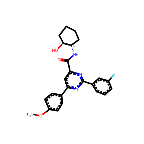 O=C(N[C@H]1CCCC[C@@H]1O)c1cc(-c2ccc(OC(F)(F)F)cc2)nc(-c2cccc(F)c2)n1